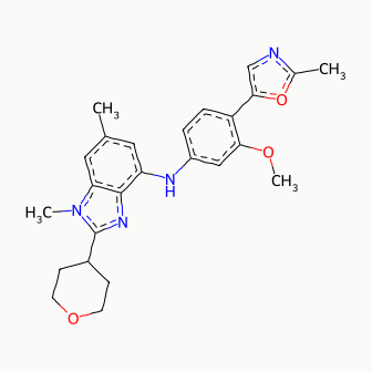 COc1cc(Nc2cc(C)cc3c2nc(C2CCOCC2)n3C)ccc1-c1cnc(C)o1